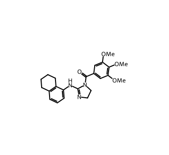 COc1cc(C(=O)N2CCN=C2Nc2cccc3c2CCCC3)cc(OC)c1OC